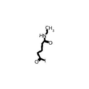 CCNC(=O)CCCC(=O)I